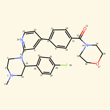 CN1CCN(c2cc(-c3ccc(C(=O)N4CCOCC4)cc3)ccn2)C(c2ccc(F)cc2)C1